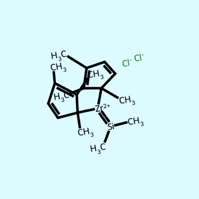 CC1=C(C)[C](C)([Zr+2](=[Si](C)C)[C]2(C)C=CC(C)=C2C)C=C1.[Cl-].[Cl-]